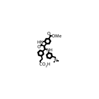 COC(=O)c1ccc2c(c1)NC(=O)C2=C(Nc1cccc(CN(C)C)c1)c1cccc(CCC(=O)O)c1